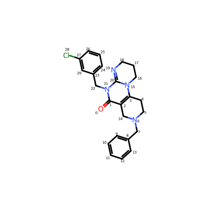 O=C1C2=C(CCN(Cc3ccccc3)C2)N2CCCN=C2N1Cc1cccc(Cl)c1